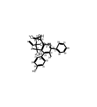 C=CC(C(=O)O)([PH](=O)O)C(C)(O)c1c(C2CC2)nc(-c2ccccc2)c(C)c1-c1ccc(F)cc1